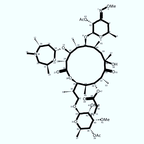 CON=C1C[C@@H](C)O[C@@H](O[C@@H]2[C@@H](C)[C@H](O[C@H]3C[C@@H](C)N(C)C[C@H](C)O3)[C@@H](C)C(=O)O[C@H]([C@@H](C)CO[C@@H]3O[C@H](C)[C@@H](OC(C)=O)[C@@H](OC)[C@H]3OC)[C@H](C)[C@@H](OC(=O)CC(C)C)[C@@H](C)C(=O)[C@@](C)(O)C[C@@H]2C)[C@@H]1OC(C)=O